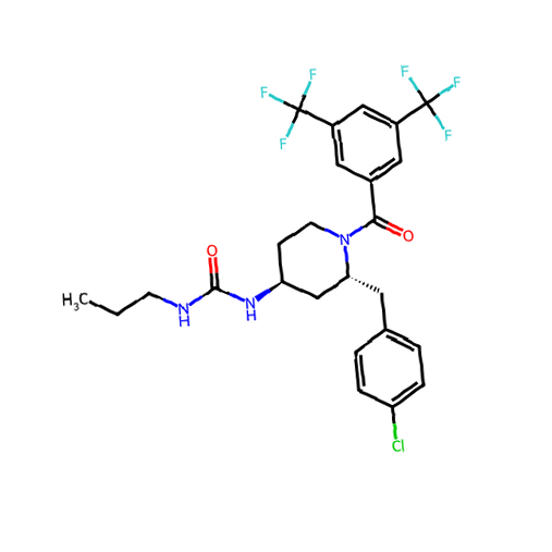 CCCNC(=O)N[C@H]1CCN(C(=O)c2cc(C(F)(F)F)cc(C(F)(F)F)c2)[C@H](Cc2ccc(Cl)cc2)C1